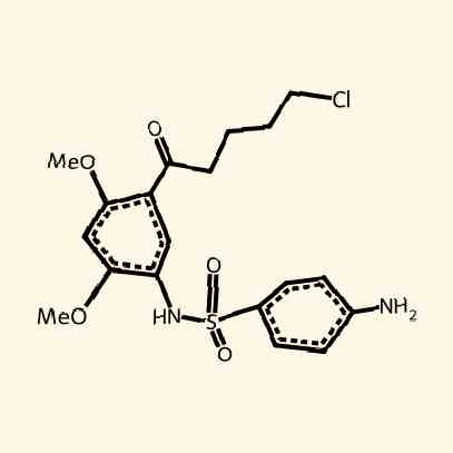 COc1cc(OC)c(C(=O)CCCCCl)cc1NS(=O)(=O)c1ccc(N)cc1